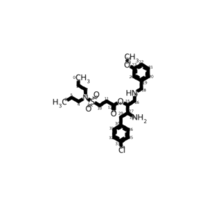 CCCN(CCC)S(=O)(=O)CCC(=O)OC(CNCc1cccc(OC)c1)C(N)Cc1ccc(Cl)cc1